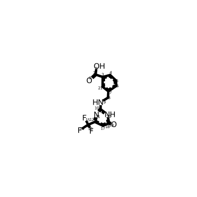 O=C(O)c1cccc(CNc2nc(C(F)(F)F)cc(=O)[nH]2)c1